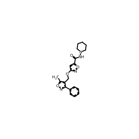 Cc1onc(-c2ccccc2)c1COc1cc(C(=O)NN2CCCCC2)on1